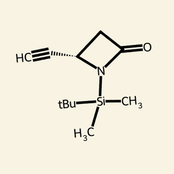 C#C[C@@H]1CC(=O)N1[Si](C)(C)C(C)(C)C